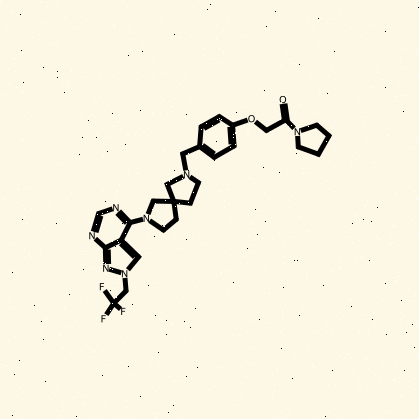 O=C(COc1ccc(CN2CCC3(CCN(c4ncnc5nn(CC(F)(F)F)cc45)C3)C2)cc1)N1CCCC1